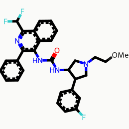 COCCN1CC(NC(=O)Nc2c(-c3ccccc3)nc(C(F)F)c3ccccc23)C(c2cccc(F)c2)C1